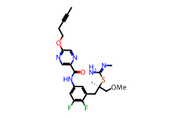 CC#CCCOc1cnc(C(=O)Nc2cc(F)c(F)c(C[C@](C)(COC)S/C(N)=N\C)c2)cn1